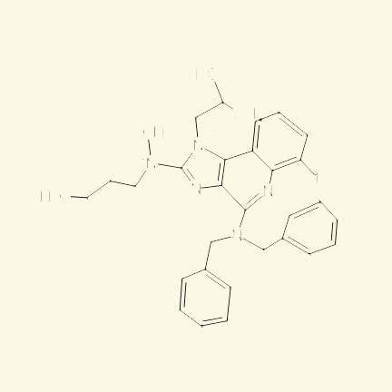 CCCCN(C)c1nc2c(N(Cc3ccccc3)Cc3ccccc3)nc3c(I)cccc3c2n1CC(C)C